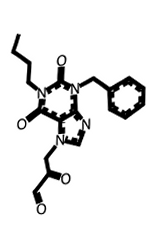 CCCCn1c(=O)c2c(ncn2CC(=O)C=O)n(Cc2ccccc2)c1=O